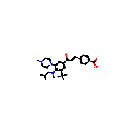 CC(C)CN(C)c1c(N2CCN(C)CC2)cc(C(O)C=Cc2ccc(C(=O)O)cc2)cc1C(C)(C)C